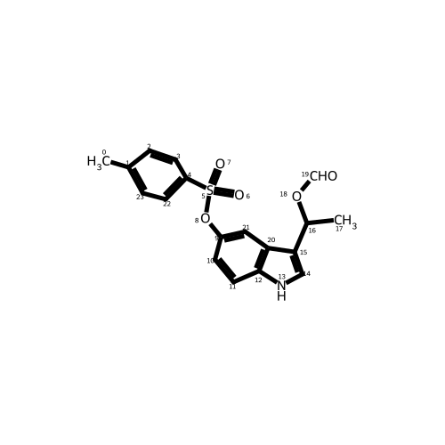 Cc1ccc(S(=O)(=O)Oc2ccc3[nH]cc(C(C)OC=O)c3c2)cc1